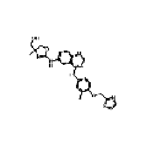 Cc1cc(Nc2ncnc3ccc(NC4=NC(C)(CO)CO4)cc23)ccc1OCc1nccs1